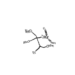 CCC(OC)C(OC)(OC)OC.N=C=O